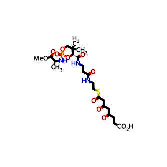 COC(=O)[C@H](C)NP1(=O)OCC(C)(C)[C@H](C(=O)NCCC(=O)NCCSC(=O)CC(=O)CC(=O)CCC(=O)O)O1